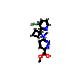 COC(=O)c1ccc(N(C)C2(c3ncccc3F)CCC2)nn1